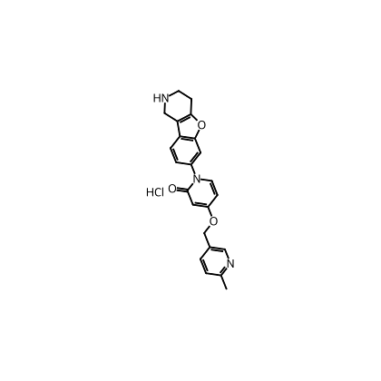 Cc1ccc(COc2ccn(-c3ccc4c5c(oc4c3)CCNC5)c(=O)c2)cn1.Cl